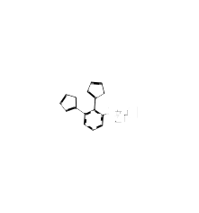 [Cl][Zr][O]c1cccc(C2=CC=CC2)c1C1=CC=CC1